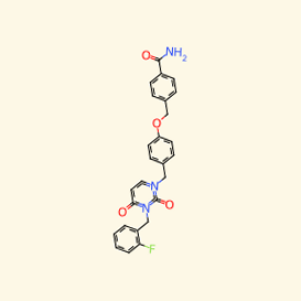 NC(=O)c1ccc(COc2ccc(Cn3ccc(=O)n(Cc4ccccc4F)c3=O)cc2)cc1